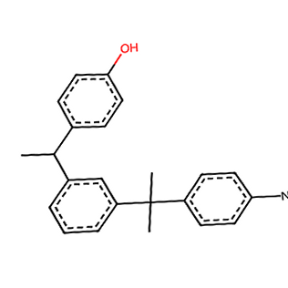 CC(c1ccc(O)cc1)c1cccc(C(C)(C)c2ccc(N=O)cc2)c1